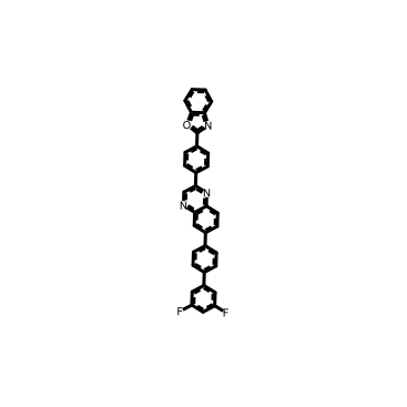 Fc1cc(F)cc(-c2ccc(-c3ccc4nc(-c5ccc(-c6nc7ccccc7o6)cc5)cnc4c3)cc2)c1